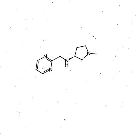 CN1CC[C@H](NCc2ncccn2)C1